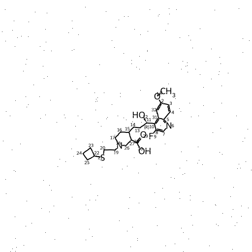 COc1ccc2ncc(F)c([C@H](O)CCC3CCN(CCSC4CCC4)CC3C(=O)O)c2c1